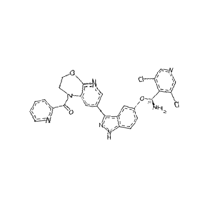 N[C@@H](Oc1ccc2[nH]nc(-c3cnc4c(c3)N(C(=O)c3ccccn3)CCO4)c2c1)c1c(Cl)cncc1Cl